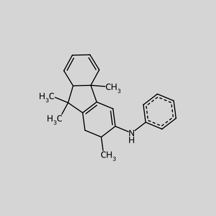 CC1CC2=C(C=C1Nc1ccccc1)C1(C)C=CC=CC1C2(C)C